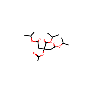 CC(=O)OC(CC(=O)OC(C)C)(CC(=O)OC(C)C)C(=O)OC(C)C